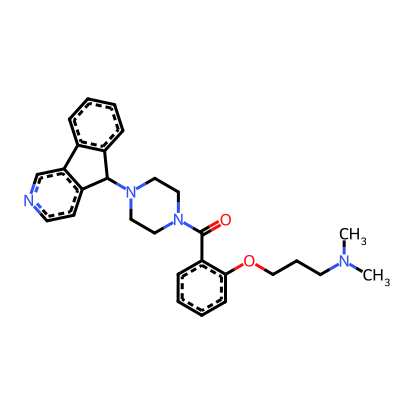 CN(C)CCCOc1ccccc1C(=O)N1CCN(C2c3ccccc3-c3cnccc32)CC1